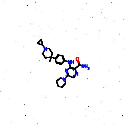 CC1(c2ccc(Nc3nc(N4CCCCC4)cnc3C(N)=O)cc2)CCN(C2CC2)CC1